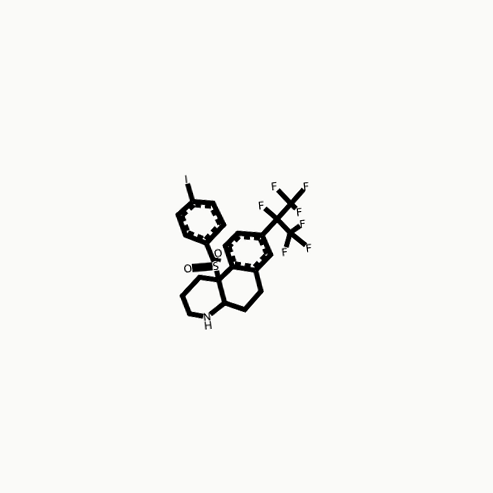 O=S(=O)(c1ccc(I)cc1)C12CCCNC1CCc1cc(C(F)(C(F)(F)F)C(F)(F)F)ccc12